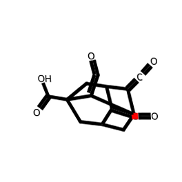 O=C=C1C2CC3C(=C=O)C1CC(C(=O)O)(C2)C3=C=O